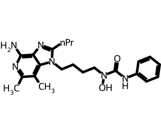 CCCc1nc2c(N)nc(C)c(C)c2n1CCCCN(O)C(=O)Nc1ccccc1